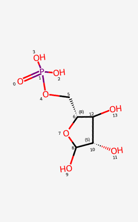 O=P(O)(O)OC[C@H]1OC(O)[C@@H](O)C1O